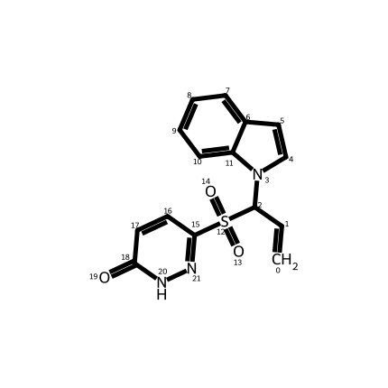 C=CC(n1ccc2ccccc21)S(=O)(=O)c1ccc(=O)[nH]n1